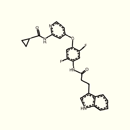 O=C(CCc1c[nH]c2ccccc12)Nc1cc(F)c(Oc2ccnc(NC(=O)C3CC3)c2)cc1F